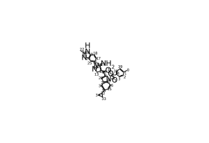 Cc1ccc(S(=O)(=O)n2c(C(=O)c3cnn(-c4ccc5[nH]c(C)nc5c4)c3N)cc3cc(C4CC4)ccc32)cc1